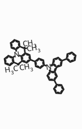 CC1(C)c2ccccc2N2c3ccccc3C(C)(C)c3cc(-c4ccc(-n5c6ccc(-c7ccccc7)cc6c6cc(-c7ccccc7)ccc65)cc4)cc1c32